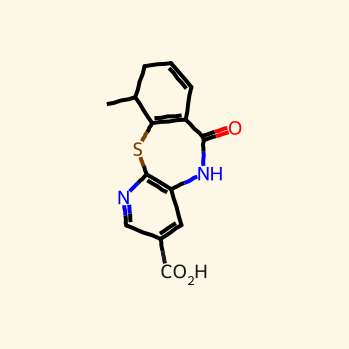 CC1CC=CC2=C1Sc1ncc(C(=O)O)cc1NC2=O